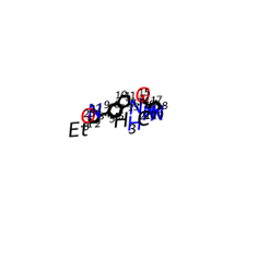 CCc1cc(-c2ccc3c(c2)CCC3NC(=O)c2ccnn2C)no1